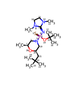 C[C@H]1CN(P(=S)(N=C2N(C)CCN2C)OC(C)(C)C)C[C@@H](CC(C)(C)C)O1